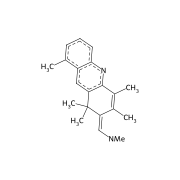 CN/C=C1\C(C)=C(C)c2nc3cccc(C)c3cc2C1(C)C